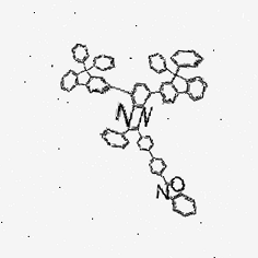 c1ccc(-c2nc3c(-c4ccc5c(c4)C(c4ccccc4)(c4ccccc4)c4ccccc4-5)ccc(-c4ccc5c(c4)C(c4ccccc4)(c4ccccc4)c4ccccc4-5)c3nc2-c2ccc(-c3ccc(-c4nc5ccccc5o4)cc3)cc2)cc1